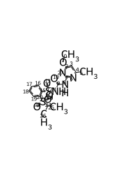 COc1cc(C)nc(NC(=O)NS(=O)(=O)c2ccccc2S(=O)(=O)C(C)C)n1